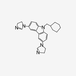 C1=NCCN1c1ccc2c(c1)c1cc(N3C=NCC3)ccc1n2CC1CCCCC1